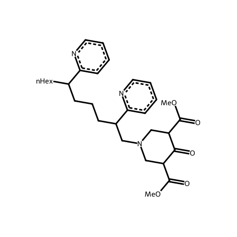 CCCCCCC(CCCC(CN1CC(C(=O)OC)C(=O)C(C(=O)OC)C1)c1ccccn1)c1ccccn1